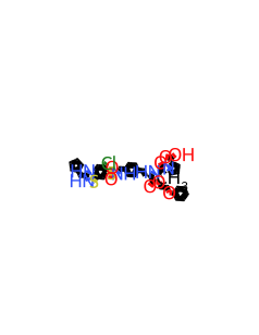 C[C@H](N[C@@H](CCc1ccc(CNS(=O)(=O)c2cc3c(cc2Cl)NC(CC2CCCC2)NS3)cc1)C(=O)OCCOc1ccccc1)C(=O)N1CCC[C@H]1C(=O)O